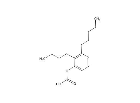 CCCCCc1cccc(OC(=O)O)c1CCCC